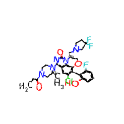 C=CC(=O)N1CCN(c2nc(=O)n3c4c(c(-c5c(O)cccc5F)c(Cl)cc24)OC[C@H]3CN2CCC(F)(F)C2)[C@@H](C)C1